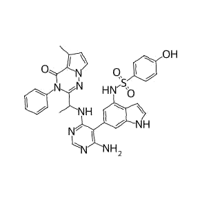 Cc1ccn2nc(C(C)Nc3ncnc(N)c3-c3cc(NS(=O)(=O)c4ccc(O)cc4)c4cc[nH]c4c3)n(-c3ccccc3)c(=O)c12